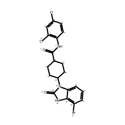 O=C(Nc1ccc(Cl)cc1Cl)C1CCC(n2c(=O)[nH]c3c(Br)cccc32)CC1